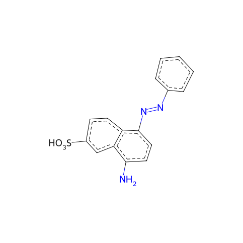 Nc1ccc(/N=N/c2ccccc2)c2ccc(S(=O)(=O)O)cc12